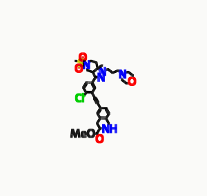 COC(=O)C1Cc2cc(C#Cc3cc(C4=NN(CCCN5CCOCC5)C5(C)CCN(S(C)(=O)=O)CC45)ccc3Cl)ccc2CN1